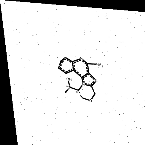 C[C@@H](O)[C@H]1COCc2nc3c(N)nc4ccccc4c3n21